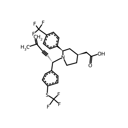 C=C(C)C#C[C@@H](c1ccc(SC(F)(F)F)cc1)N1CC[C@H](CC(=O)O)C[C@@H]1c1ccc(C(F)(F)F)cc1